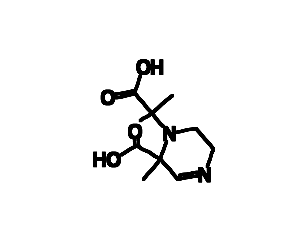 CC(C)(C(=O)O)N1CCN=CC1(C)C(=O)O